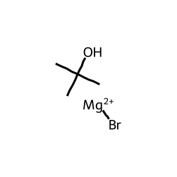 CC(C)(C)O.[Mg+2][Br]